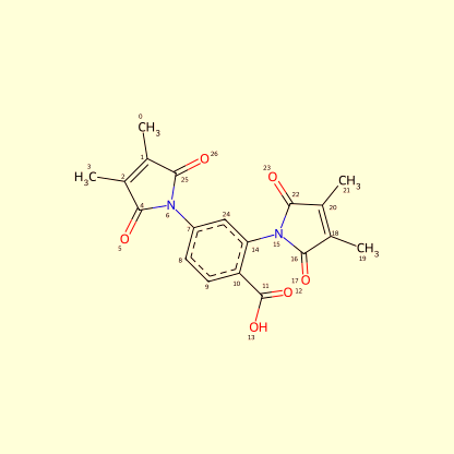 CC1=C(C)C(=O)N(c2ccc(C(=O)O)c(N3C(=O)C(C)=C(C)C3=O)c2)C1=O